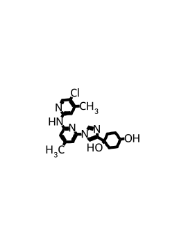 Cc1cc(Nc2cc(C)c(Cl)cn2)nc(-n2cnc(C3(O)CCC(O)CC3)c2)c1